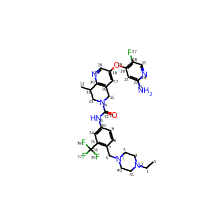 CCN1CCN(Cc2ccc(NC(=O)N3Cc4cc(Oc5cc(N)ncc5F)cnc4C(C)C3)cc2C(F)(F)F)CC1